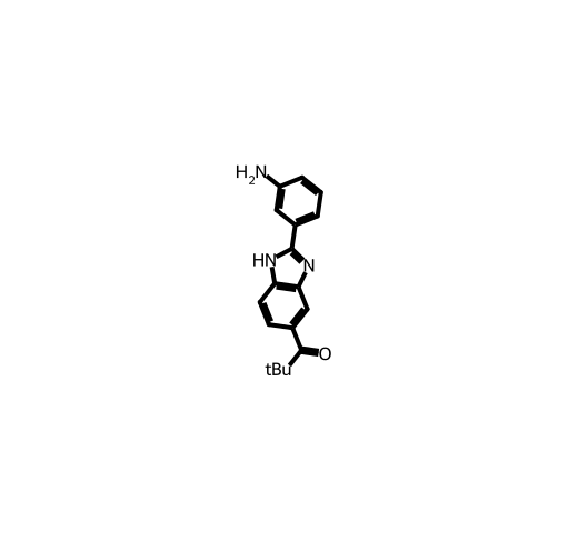 CC(C)(C)C(=O)c1ccc2[nH]c(-c3cccc(N)c3)nc2c1